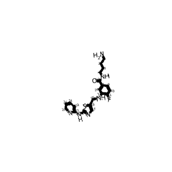 NCCCCNC(=O)c1ccc(F)c(NCc2cnc(Nc3ccccn3)s2)c1